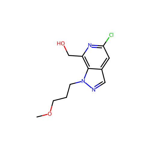 COCCCn1ncc2cc(Cl)nc(CO)c21